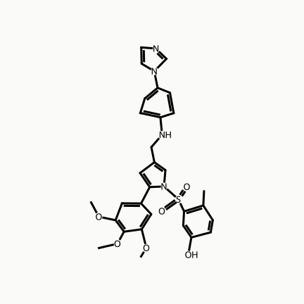 COc1cc(-c2cc(CNc3ccc(-n4ccnc4)cc3)cn2S(=O)(=O)c2cc(O)ccc2C)cc(OC)c1OC